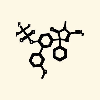 COc1cccc(-c2cc(C3(c4ccccc4)N=C(N)N(C)C3=O)ccc2OS(=O)(=O)C(F)(F)F)c1